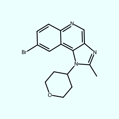 Cc1nc2cnc3ccc(Br)cc3c2n1C1CCOCC1